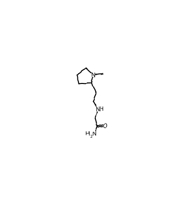 CN1CCCC1CCNCC(N)=O